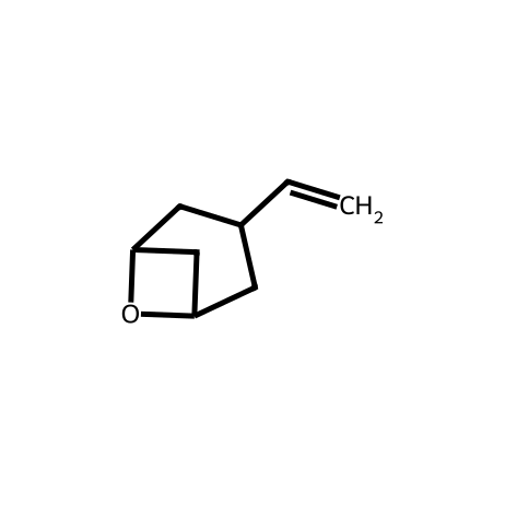 C=CC1CC2CC(C1)O2